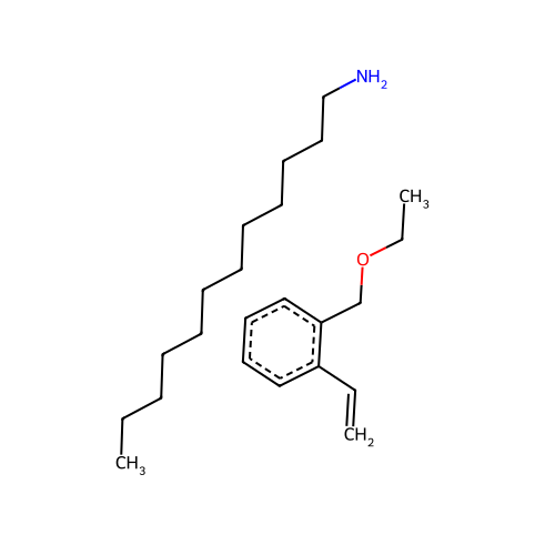 C=Cc1ccccc1COCC.CCCCCCCCCCCCN